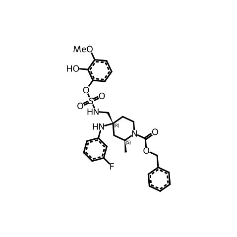 COc1cccc(OS(=O)(=O)NC[C@@]2(Nc3cccc(F)c3)CCN(C(=O)OCc3ccccc3)[C@@H](C)C2)c1O